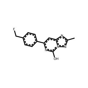 Cc1nc2cc(-c3ccc(CF)cc3)nc(O)n2n1